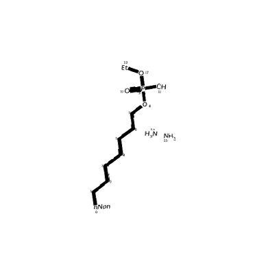 CCCCCCCCCCCCCCCCOP(=O)(O)OCC.N.N